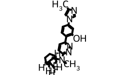 Cc1cn(-c2ccc(-c3ccc(N(C)[C@@H]4[C@H]5CC[C@H](NC5)[C@H]4F)nn3)c(O)c2)cn1